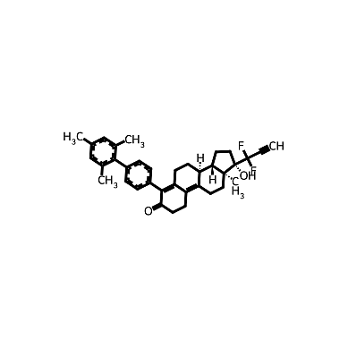 C#CC(F)(F)[C@]1(O)CC[C@H]2[C@@H]3CCC4=C(c5ccc(-c6c(C)cc(C)cc6C)cc5)C(=O)CCC4=C3CC[C@@]21C